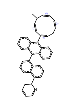 CC1/C=C\C=C/C/C=C(c2c3ccccc3c(-c3cccc4c(C5CC=CC=N5)cccc34)c3ccccc23)\C=C/1